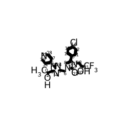 C[C@H](O)c1nc(Cn2cc(-c3ccc(Cl)cc3)n(CC(O)C(F)(F)F)c2=O)nn1-c1ccncc1